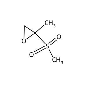 CC1(S(C)(=O)=O)CO1